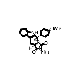 CCCCN1C(=O)[C@H]2Cc3c([nH]c4ccccc34)[C@H](c3ccc(OC)cc3)N2C1=O